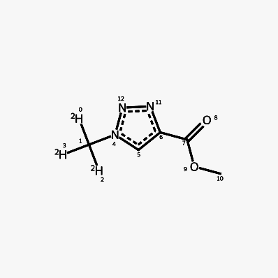 [2H]C([2H])([2H])n1cc(C(=O)OC)nn1